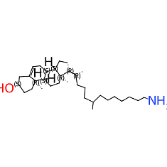 CC(CCCCCCCN)CCC[C@@H](C)[C@H]1CC[C@H]2[C@@H]3CC=C4C[C@@H](O)CC[C@]4(C)[C@H]3CC[C@]12C